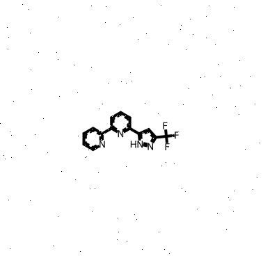 FC(F)(F)c1cc(-c2cccc(-c3ccccn3)n2)[nH]n1